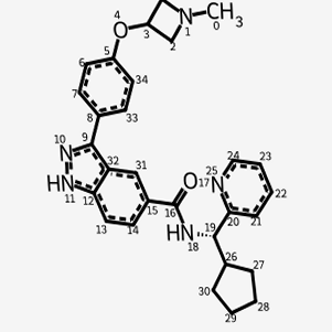 CN1CC(Oc2ccc(-c3n[nH]c4ccc(C(=O)N[C@H](c5ccccn5)C5CCCC5)cc34)cc2)C1